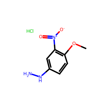 COc1ccc(NN)cc1[N+](=O)[O-].Cl